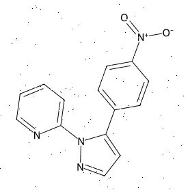 O=[N+]([O-])c1ccc(-c2ccnn2-c2ccccn2)cc1